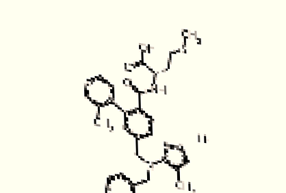 CSCC[C@H](NC(=O)c1ccc(CN(Cc2ccccc2)c2sccc2C)cc1-c1ccccc1C)C(=O)O.[Li]